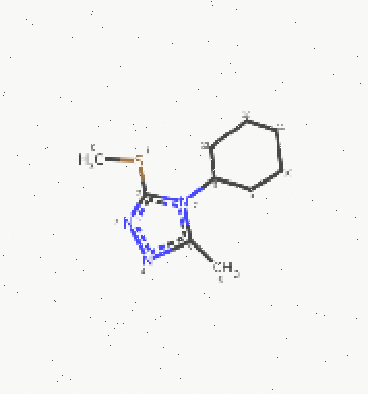 [CH2]Sc1nnc(C)n1C1CCCCC1